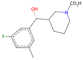 Cc1cc(F)cc([C@H](O)C2CCCN(C(=O)O)C2)c1